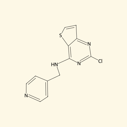 Clc1nc(NCc2ccncc2)c2sccc2n1